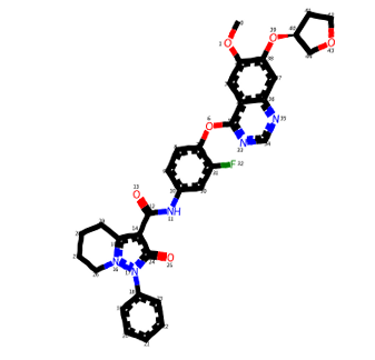 COc1cc2c(Oc3ccc(NC(=O)c4c5n(n(-c6ccccc6)c4=O)CCCC5)cc3F)ncnc2cc1O[C@H]1CCOC1